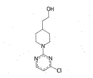 OCCC1CCN(c2nccc(Cl)n2)CC1